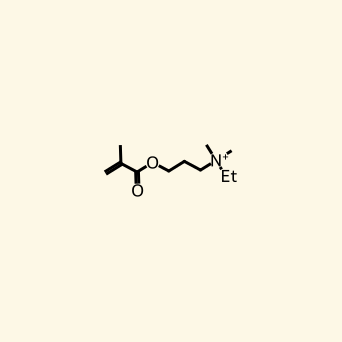 [CH2]C[N+](C)(C)CCCOC(=O)C(=C)C